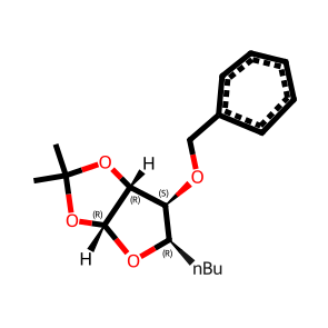 CCCC[C@H]1O[C@@H]2OC(C)(C)O[C@@H]2[C@H]1OCc1ccccc1